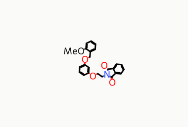 COc1ccccc1COc1cccc(OCCN2C(=O)c3ccccc3C2=O)c1